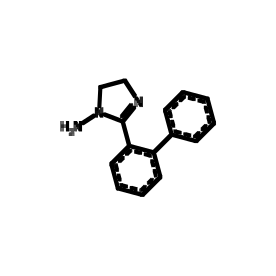 NN1CCN=C1c1ccccc1-c1ccccc1